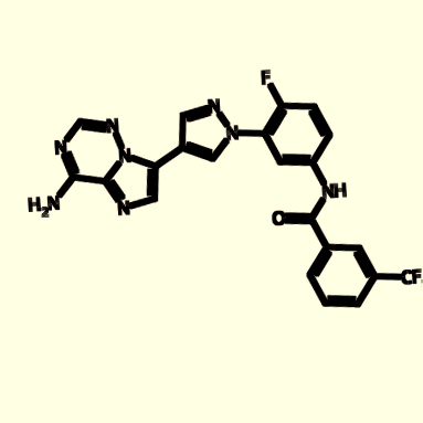 Nc1ncnn2c(-c3cnn(-c4cc(NC(=O)c5cccc(C(F)(F)F)c5)ccc4F)c3)cnc12